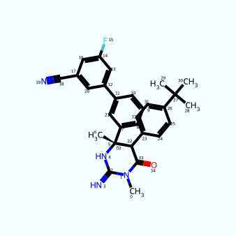 CN1C(=N)N[C@](C)(c2cccc(-c3cc(F)cc(C#N)c3)c2)C(c2ccc(C(C)(C)C)cc2)C1=O